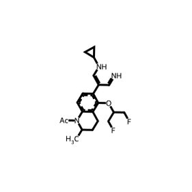 CC(=O)N1c2ccc(/C(C=N)=C/NC3CC3)c(OC(CF)CF)c2CCC1C